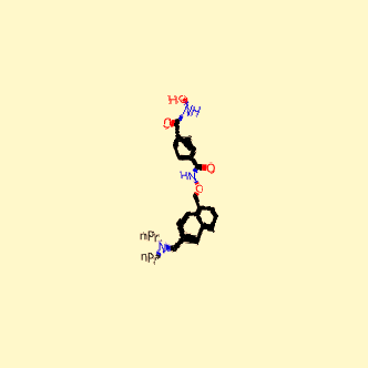 CCCN(CCC)Cc1ccc2c(CONC(=O)c3ccc(C(=O)NO)cc3)cccc2c1